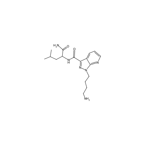 CC(C)CC(NC(=O)c1nn(CCCCN)c2ncccc12)C(N)=O